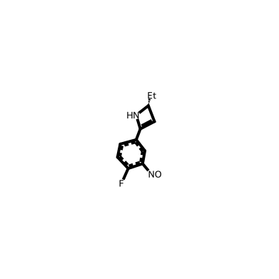 CC[C@@H]1C=C(c2ccc(F)c(N=O)c2)N1